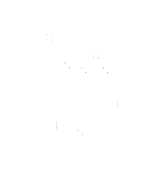 CN(C)CCOc1ccc(Nc2ncc3c(n2)N(C2CCCC2)C(=O)C2(CC(=O)N(C)C2=O)C3)cc1F